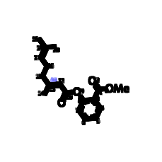 COC(=O)c1ccccc1OC(=O)/C=C(\C)CCC=C(C)C